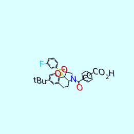 CC(C)(C)c1ccc2c(c1)CCC1N(C(=O)C34CCC(C(=O)O)(CC3)CC4)CCC21S(=O)(=O)c1cccc(F)c1